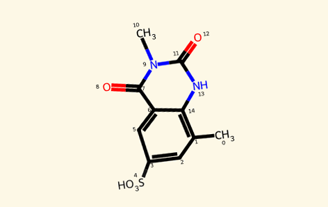 Cc1cc(S(=O)(=O)O)cc2c(=O)n(C)c(=O)[nH]c12